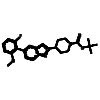 COc1cccc(F)c1-c1ccc2nn(C3CCN(C(=O)OC(C)(C)C)CC3)cc2c1